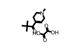 CN1CC=C(C(=O)C(C)(C)C)CC1.O=C(O)C(=O)O